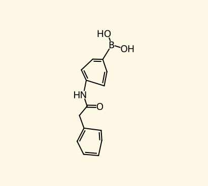 O=C(Cc1ccccc1)Nc1ccc(B(O)O)cc1